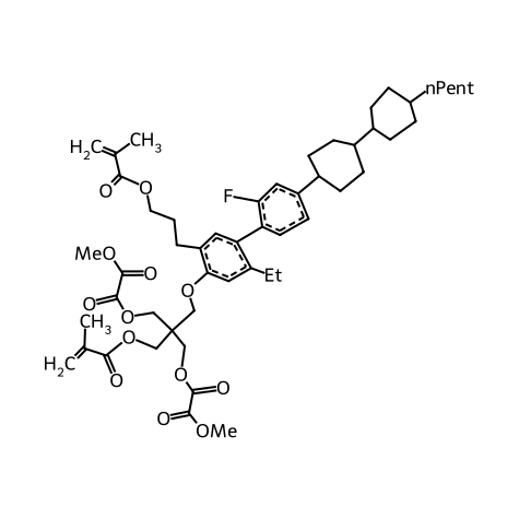 C=C(C)C(=O)OCCCc1cc(-c2ccc(C3CCC(C4CCC(CCCCC)CC4)CC3)cc2F)c(CC)cc1OCC(COC(=O)C(=C)C)(COC(=O)C(=O)OC)COC(=O)C(=O)OC